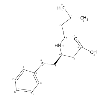 CC(C)CCN[C@H](CSc1ccccc1)CC(=O)O